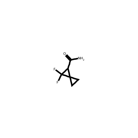 NC(=O)C1C(F)(F)C12CC2